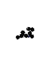 C(=C1\c2ccccc2-c2cc(-n3c4ccccc4c4ccncc43)ccc21)/c1ccc(C2c3ccccc3-c3cc(-c4ccccc4)ccc32)cc1